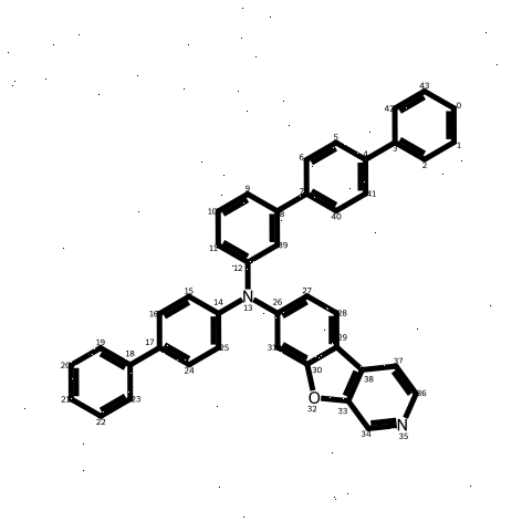 c1ccc(-c2ccc(-c3cccc(N(c4ccc(-c5ccccc5)cc4)c4ccc5c(c4)oc4cnccc45)c3)cc2)cc1